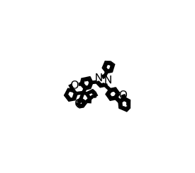 CC12CC=CC=C1C1(c3cc(-c4cc(-c5ccc6c(c5)oc5ccccc56)nc(-c5ccccc5)n4)ccc3O2)c2ccccc2C2(C)C=CC=CC21